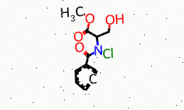 COC(=O)C(CO)N(Cl)C(=O)c1ccccc1